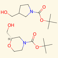 CC(C)(C)OC(=O)N1CCC(CO)C1.CC(C)(C)OC(=O)N1CCO[C@H](CO)C1